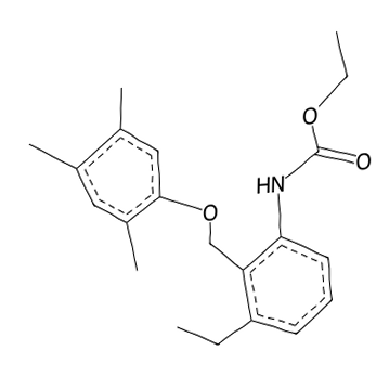 CCOC(=O)Nc1cccc(CC)c1COc1cc(C)c(C)cc1C